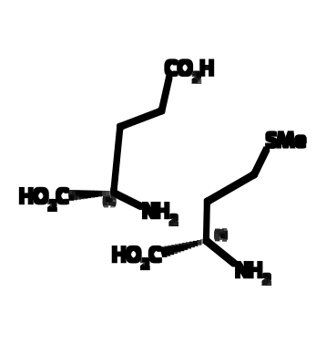 CSCC[C@H](N)C(=O)O.N[C@@H](CCC(=O)O)C(=O)O